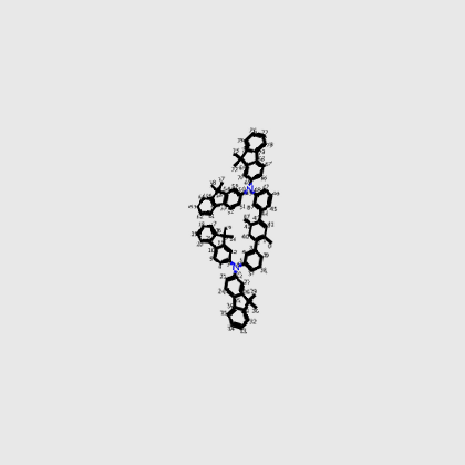 CC1=C(C2=CC(N(c3ccc4c(c3)C(C)(C)c3ccccc3-4)c3ccc4c(c3)C(C)(C)c3ccccc3-4)=CCC2)CC(C)C(c2cccc(N(c3ccc4c(c3)C(C)(C)C3=C4C=CCC3)c3ccc4c(c3)C(C)(C)c3ccccc3-4)c2)=C1